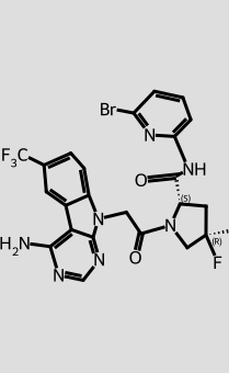 C[C@@]1(F)C[C@@H](C(=O)Nc2cccc(Br)n2)N(C(=O)Cn2c3ccc(C(F)(F)F)cc3c3c(N)ncnc32)C1